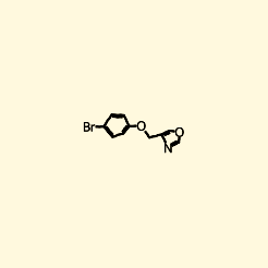 Brc1ccc(OCc2cocn2)cc1